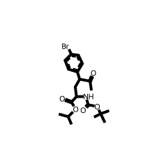 CC(=O)C(CC(NC(=O)OC(C)(C)C)C(=O)OC(C)C)c1ccc(Br)cc1